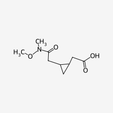 CON(C)C(=O)CC1CC1CC(=O)O